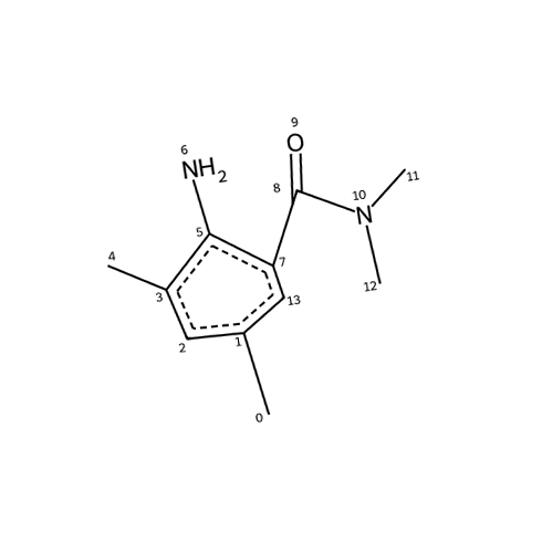 Cc1cc(C)c(N)c(C(=O)N(C)C)c1